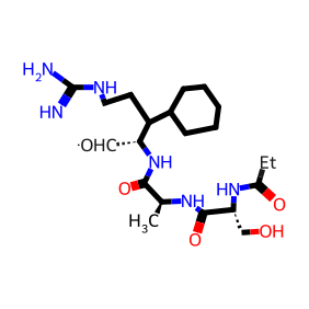 CCC(=O)N[C@H](CO)C(=O)N[C@@H](C)C(=O)N[C@H]([C]=O)C(CCNC(=N)N)C1CCCCC1